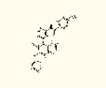 O=C(Nc1cccc(-n2c(=O)c(Cc3ccccc3)nc3cccnc32)c1)c1ccc([N+](=O)[O-])cc1